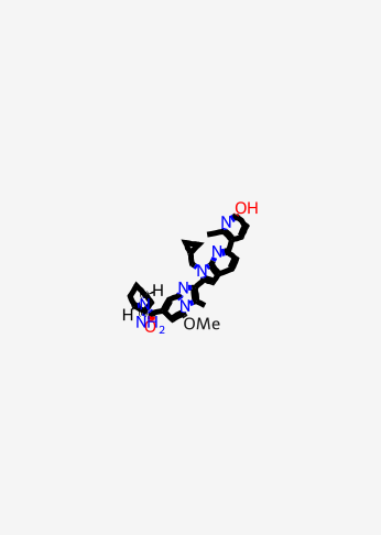 COc1cc(C(=O)N2[C@H]3CC[C@@H]2[C@H](N)C3)cc2nc(-c3cc4ccc(-c5ccc(O)nc5C)nc4n3CC3CC3)c(C)n12